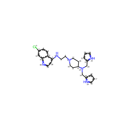 Clc1ccc2c(NCCN3CCC(N(Cc4ccc[nH]4)Cc4ccc[nH]4)CC3)ccnc2c1